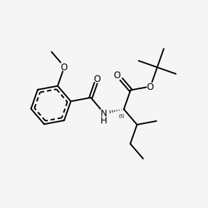 CCC(C)[C@H](NC(=O)c1ccccc1OC)C(=O)OC(C)(C)C